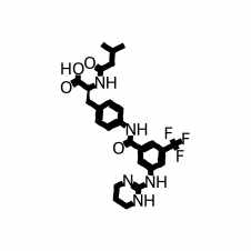 CC(C)CC(=O)N[C@@H](Cc1ccc(NC(=O)c2cc(NC3=NCCCN3)cc(C(F)(F)F)c2)cc1)C(=O)O